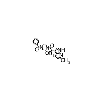 Cc1ccc2c(C(=O)C(=O)N3CCN(C(=O)c4ccccc4)CC3C)c[nH]c2n1